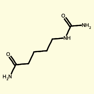 NC(=O)CCCCNC(N)=O